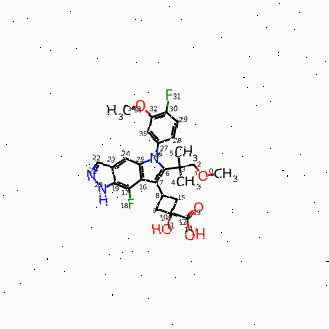 COCC(C)(C)c1c(C2CC(O)(C(=O)O)C2)c2c(F)c3[nH]ncc3cc2n1-c1ccc(F)c(OC)c1